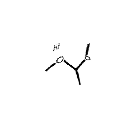 COC(C)OC.F